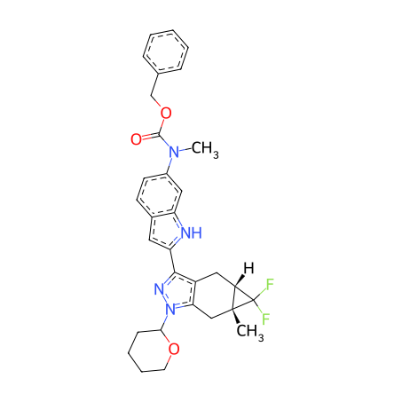 CN(C(=O)OCc1ccccc1)c1ccc2cc(-c3nn(C4CCCCO4)c4c3C[C@@H]3C(F)(F)[C@]3(C)C4)[nH]c2c1